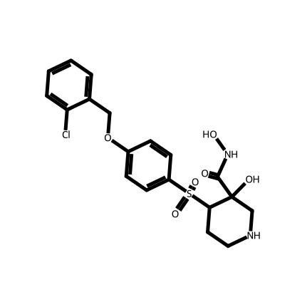 O=C(NO)C1(O)CNCCC1S(=O)(=O)c1ccc(OCc2ccccc2Cl)cc1